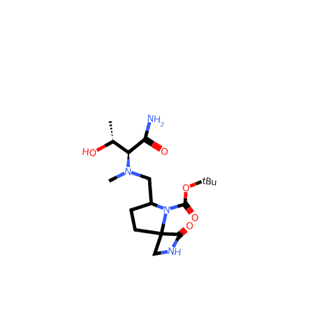 C[C@@H](O)[C@@H](C(N)=O)N(C)CC1CCC2(CNC2=O)N1C(=O)OC(C)(C)C